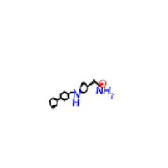 NC(=O)C1CC1c1ccc(NCc2ccc(-c3ccccc3)cc2)cc1